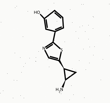 N[C@@H]1C[C@@H]1c1cnc(-c2cccc(O)c2)s1